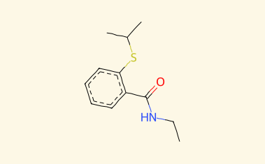 CCNC(=O)c1ccccc1SC(C)C